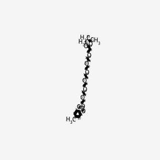 Cc1ccc(S(=O)(=O)OCCOCCOCCOCCOCCOCCOCCC(=O)OC(C)(C)C)cc1